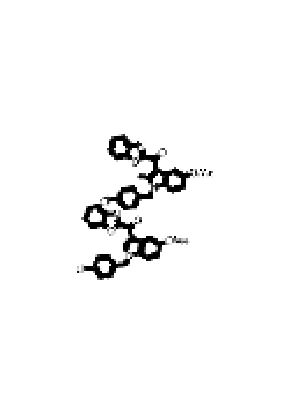 COc1ccc2c(c1)c(C(=O)c1nc3ccccc3o1)c(C)n2Cc1ccc(Cl)cc1.COc1ccc2c(c1)c(C(=O)c1nc3ccccc3o1)cn2Cc1ccc(Cl)cc1